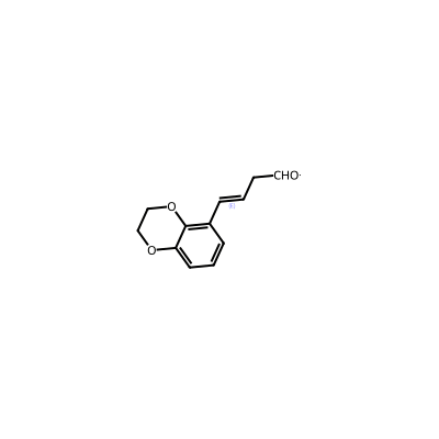 O=[C]C/C=C/c1cccc2c1OCCO2